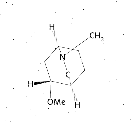 CO[C@@H]1C[C@H]2CC[C@@H]1CN2C